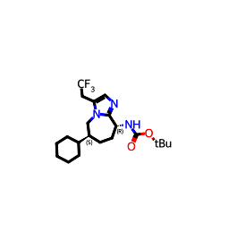 CC(C)(C)OC(=O)N[C@@H]1CC[C@@H](C2CCCCC2)Cn2c(CC(F)(F)F)cnc21